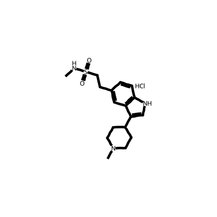 CNS(=O)(=O)CCc1ccc2[nH]cc(C3CCN(C)CC3)c2c1.Cl